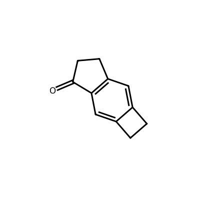 O=C1CCc2cc3c(cc21)CC3